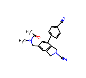 CC(=O)N(C)Cc1cc2c(c(-c3ccc(C#N)cc3)c1)CN(C#N)C2